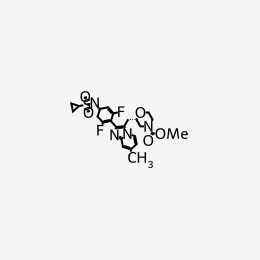 COC(=O)N1CCO[C@@H](Cc2c(C3=C(F)CC(=NS(=O)(=O)C4CC4)C=C3F)nc3cc(C)ccn23)C1